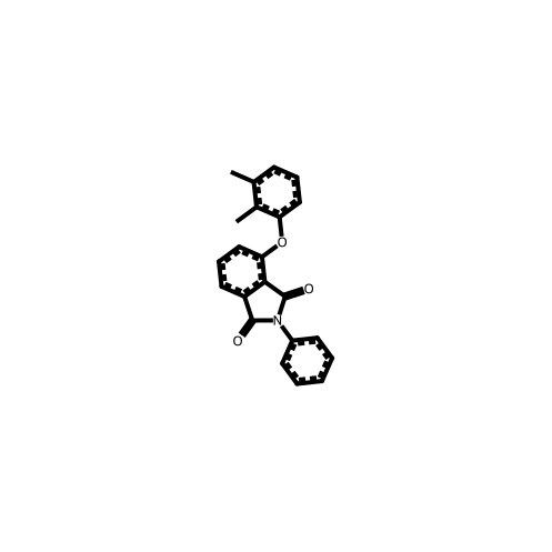 Cc1cccc(Oc2cccc3c2C(=O)N(c2ccccc2)C3=O)c1C